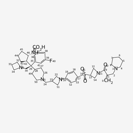 C=C(CN1CCCCC1)C(=O)N1CC(S(=O)(=O)c2ccc(N3CC(CN4CCC([C@@](CN5CCC5)(c5cccc(F)c5)[C@H]5CCC[C@@H]5NC(=O)O)CC4)C3)cc2)C1